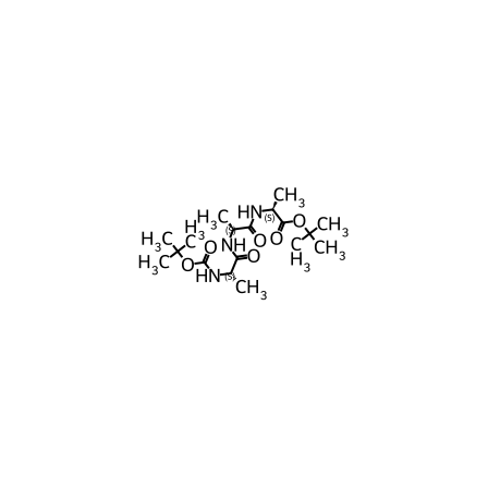 C[C@H](NC(=O)OC(C)(C)C)C(=O)N[C@@H](C)C(=O)N[C@@H](C)C(=O)OC(C)(C)C